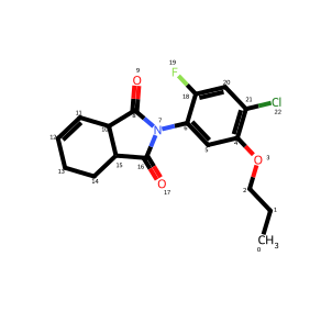 CCCOc1cc(N2C(=O)C3C=CCCC3C2=O)c(F)cc1Cl